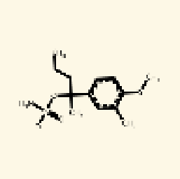 CCCC(C)(OP(N)(=O)O)c1ccc(SC)c(C)c1